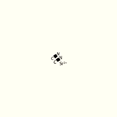 [C-]#N.[C-]#N.[Sr+2]